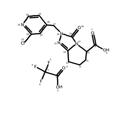 O=C(O)C(F)(F)F.O=C(O)C1CCCc2nn(Cc3ccnc(Cl)c3)c(=O)n21